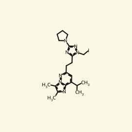 Cc1nc2c(C(C)C)cc(CCc3nc(N4CCCC4)nn3CI)nn2c1C